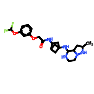 CC1CC2C(NC34CC(C3)C(NC(=O)COc3cccc(OC(F)F)c3)C4)NCCN2N1